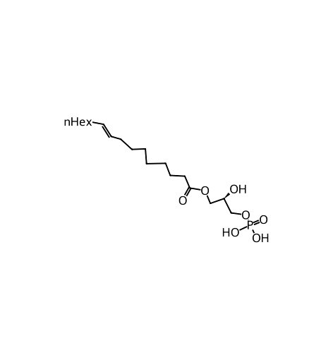 CCCCCCC=CCCCCCCCC(=O)OC[C@@H](O)COP(=O)(O)O